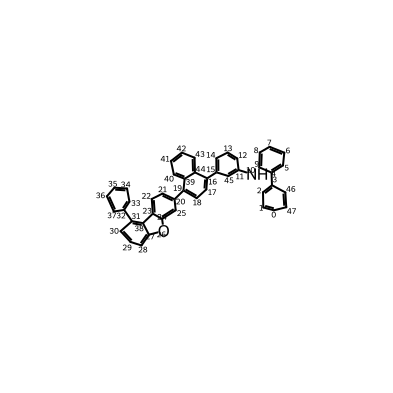 c1ccc(-c2ccccc2Nc2cccc(-c3ccc(-c4ccc5c(c4)oc4cccc(-c6ccccc6)c45)c4ccccc34)c2)cc1